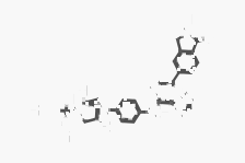 CC(C)(C)N1C[C@@H]2C[C@H]1CN2c1ccc(Nc2ncc(-c3ccc4c(c3)CNC4=O)n3ncnc23)cc1